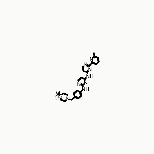 Cc1cccc(-c2nccc(Nc3ccnc(Nc4ccc(CN5CCS(=O)(=O)CC5)cc4)n3)n2)n1